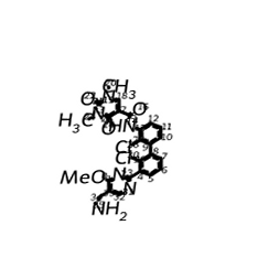 COc1nc(-c2cccc(-c3cccc(NC(=O)c4cn(C)c(=O)n(C)c4=O)c3Cl)c2Cl)ncc1CN